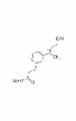 COC(=O)CCc1cccc(/C(C)=C/COC(C)=O)c1